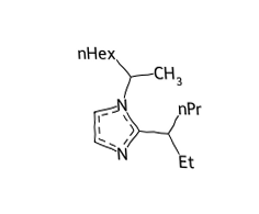 CCCCCCC(C)n1ccnc1C(CC)CCC